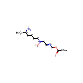 CNC(=O)OCN=CCN(O)CCCC[C@H](N)C(=O)O